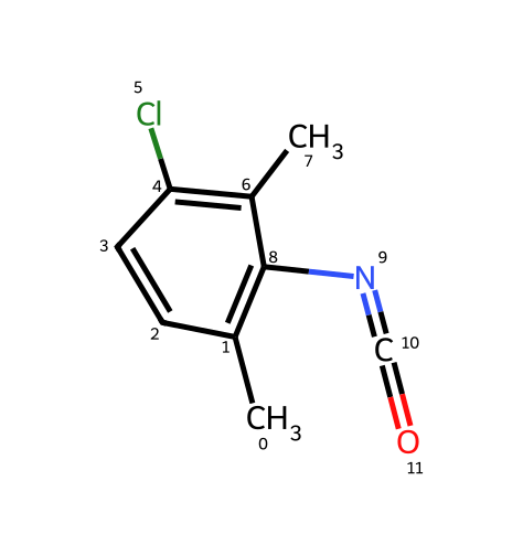 Cc1ccc(Cl)c(C)c1N=C=O